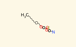 CCCCCCCCCC1CCC(CCCOc2ccc(C(=O)Oc3ccc(C#N)cc3F)cc2)CC1